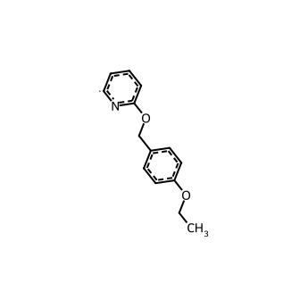 CCOc1ccc(COc2ccc[c]n2)cc1